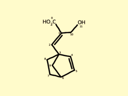 O=C(O)C(=CC12C=CC(CC1)C2)CO